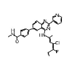 CC/C(F)=C(Cl)\C=C(/C)Nc1nc(-c2cccnc2)nc2ccc(-c3ccc(C(=O)NC)cc3)cc12